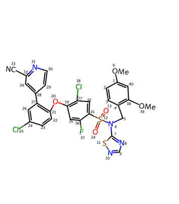 COc1ccc(CN(c2ncns2)S(=O)(=O)c2cc(Cl)c(Oc3ccc(Cl)cc3-c3ccnc(C#N)c3)cc2F)c(OC)c1